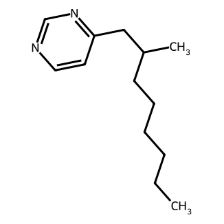 CCCCCCC(C)Cc1ccncn1